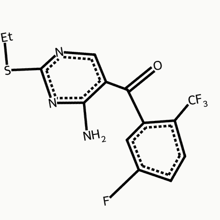 CCSc1ncc(C(=O)c2cc(F)ccc2C(F)(F)F)c(N)n1